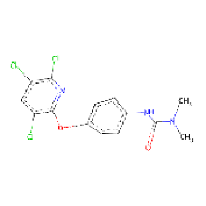 CN(C)C(=O)Nc1ccc(Oc2nc(Cl)c(Cl)cc2Cl)cc1